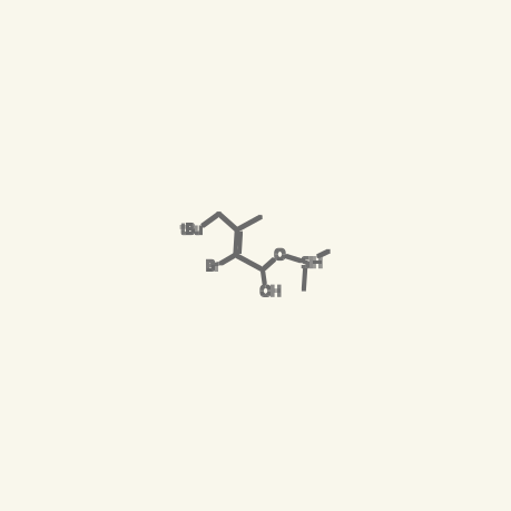 CC(CC(C)(C)C)=C(Br)C(O)O[SiH](C)C